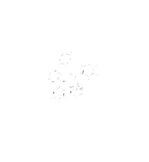 CCC(C)C1C(C(C)(C2c3ccccc3-c3ccccc32)P(c2ccccc2)c2ccccc2)=Cc2ccccc21